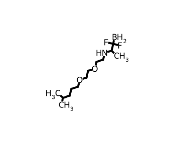 BC(F)(F)C(C)NCCOCCOCCCC(C)C